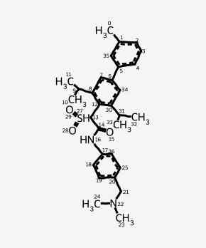 Cc1cccc(-c2cc(C(C)C)c(C(C(=O)Nc3ccc(CN(C)C)cc3)[SH](=O)=O)c(C(C)C)c2)c1